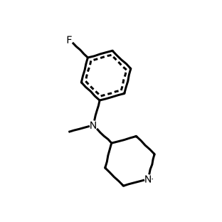 CN(c1cccc(F)c1)C1CC[N]CC1